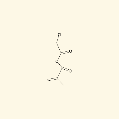 C=C(C)C(=O)OC(=O)CCl